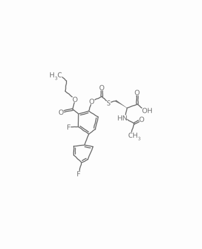 CCCOC(=O)c1c(OC(=O)SC[C@H](NC(C)=O)C(=O)O)ccc(-c2ccc(F)cc2)c1F